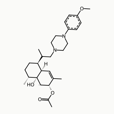 COc1ccc(N2CCN(CC(C)[C@@H]3CC[C@@H](C)[C@]4(O)[CH][C@@H](OC(C)=O)C(C)=C[C@H]34)CC2)cc1